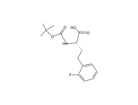 CC(C)(C)OC(=O)N[C@@H](CCc1ccccc1F)C(=O)O